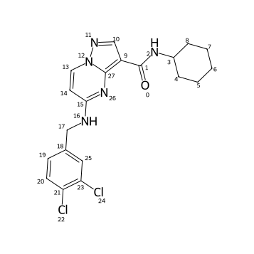 O=C(NC1CCCCC1)c1cnn2ccc(NCc3ccc(Cl)c(Cl)c3)nc12